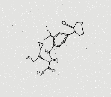 CC(C)CN(C1CC1)[C@H](C(N)=O)C(=O)Nc1ccc(N2CCOCC2=O)cc1C(F)F